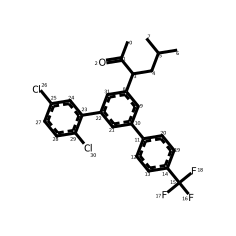 CC(=O)C(CC(C)C)c1cc(-c2ccc(C(F)(F)F)cc2)cc(-c2cc(Cl)ccc2Cl)c1